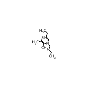 CCCCN(CCCC)C(C)=C(C)[SiH3]